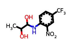 CC(O)C(O)Nc1ccc(C(F)(F)F)cc1[N+](=O)[O-]